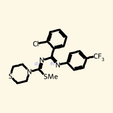 CS/C(=N\C(=N\c1ccc(C(F)(F)F)cc1)c1ccccc1Cl)N1CCSCC1